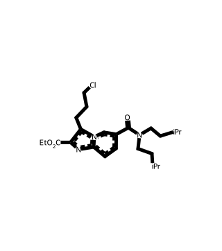 CCOC(=O)c1nc2ccc(C(=O)N(CCC(C)C)CCC(C)C)cn2c1CCCCl